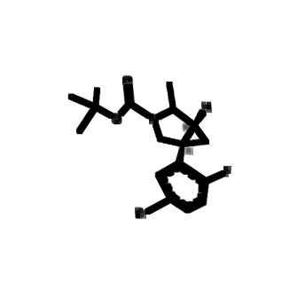 CC1[C@@H]2C[C@]2(c2cc(Br)ccc2F)CN1C(=O)OC(C)(C)C